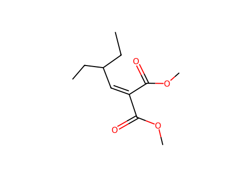 CCC(C=C(C(=O)OC)C(=O)OC)CC